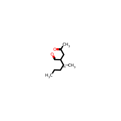 CCC[C@@H](C)C(C=O)CC(C)=O